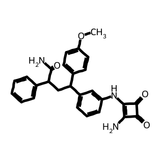 COc1ccc(C(CC(C(N)=O)c2ccccc2)c2cccc(Nc3c(N)c(=O)c3=O)c2)cc1